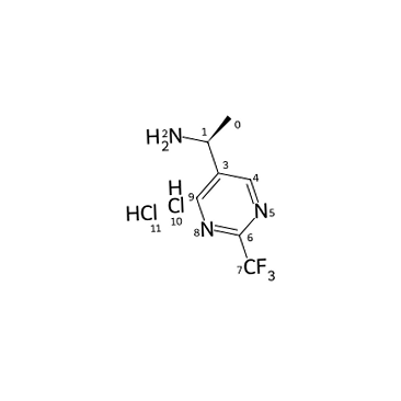 C[C@H](N)c1cnc(C(F)(F)F)nc1.Cl.Cl